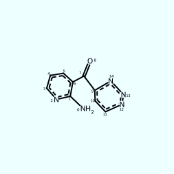 Nc1ncccc1C(=O)c1ccnnn1